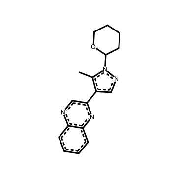 Cc1c(-c2cnc3ccccc3n2)cnn1C1CCCCO1